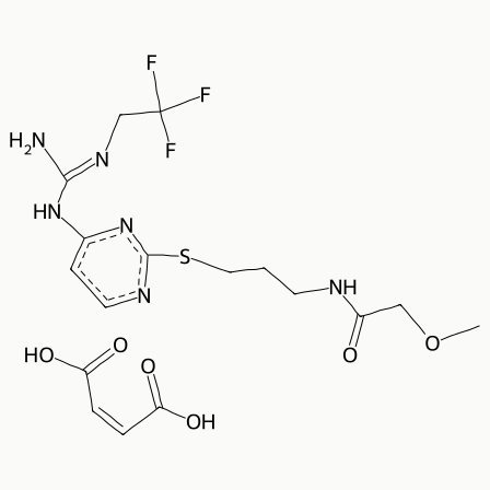 COCC(=O)NCCCSc1nccc(NC(N)=NCC(F)(F)F)n1.O=C(O)/C=C\C(=O)O